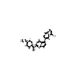 CCc1cnc2ncc(-c3ccn4nc(NC5CCC(N)CC5)ncc34)cn12